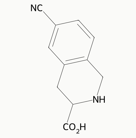 N#Cc1ccc2c(c1)CC(C(=O)O)NC2